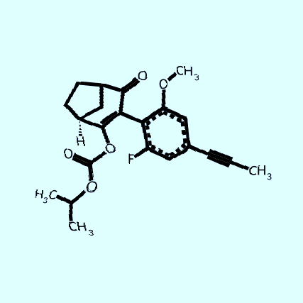 CC#Cc1cc(F)c(C2=C(OC(=O)OC(C)C)[C@H]3CCC(C3)C2=O)c(OC)c1